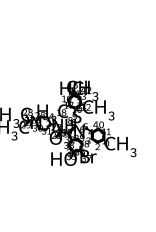 Cc1ccc(Cn2c(CSc3c(C)cc(C)cc3C)c(C(=O)NC3CCN(C(C)C)CC3)c3cc(O)c(Br)cc32)cc1.Cl